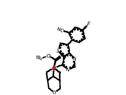 CC(C)(C)OC(=O)N1CC2COCC(C1)C2Oc1ncnc2c(-c3ccc(F)cc3C#N)csc12